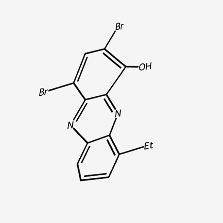 CCc1cccc2nc3c(Br)cc(Br)c(O)c3nc12